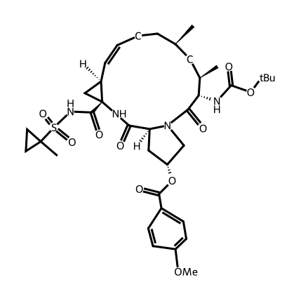 COc1ccc(C(=O)O[C@@H]2C[C@H]3C(=O)N[C@]4(C(=O)NS(=O)(=O)C5(C)CC5)C[C@H]4/C=C\CC[C@@H](C)C[C@@H](C)[C@H](NC(=O)OC(C)(C)C)C(=O)N3C2)cc1